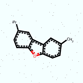 Cc1ccc2oc3ccc(C(C)C)cc3c2c1